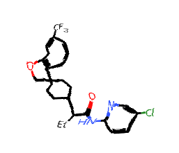 CCC(C(=O)Nc1ccc(Cl)cn1)C1CCC2(CC1)COc1cc(C(F)(F)F)ccc12